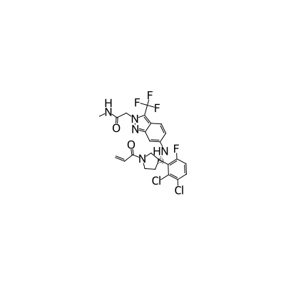 C=CC(=O)N1CC[C@](Nc2ccc3c(C(F)(F)F)n(CC(=O)NC)nc3c2)(c2c(F)ccc(Cl)c2Cl)C1